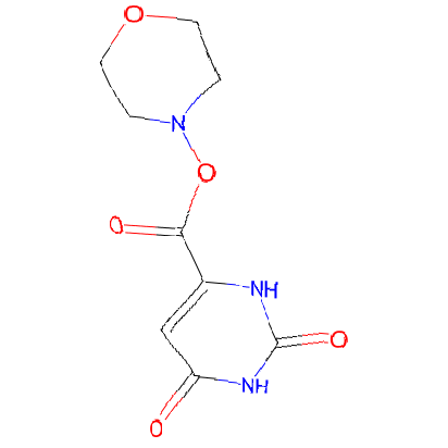 O=C(ON1CCOCC1)c1cc(=O)[nH]c(=O)[nH]1